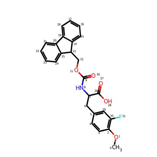 COc1ccc(CC(NC(=O)OCC2c3ccccc3-c3ccccc32)C(=O)O)cc1F